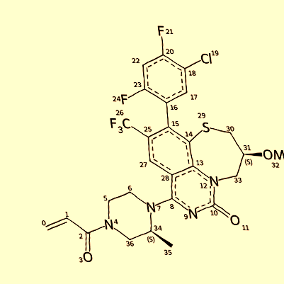 C=CC(=O)N1CCN(c2nc(=O)n3c4c(c(-c5cc(Cl)c(F)cc5F)c(C(F)(F)F)cc24)SC[C@@H](OC)C3)[C@@H](C)C1